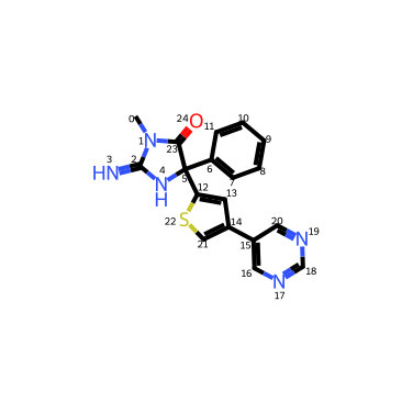 CN1C(=N)NC(c2ccccc2)(c2cc(-c3cncnc3)cs2)C1=O